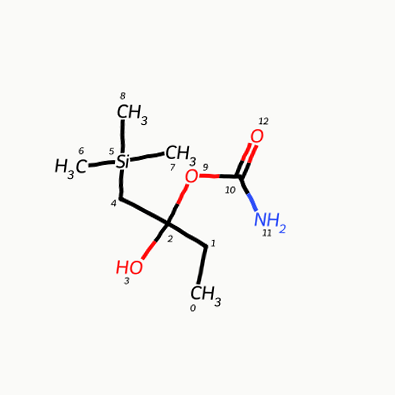 CCC(O)(C[Si](C)(C)C)OC(N)=O